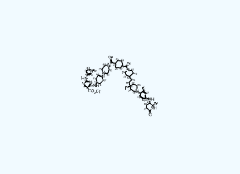 CCOC(=O)c1cnc(Nc2cnn(C)c2)nc1NC1CCC(N2CCN(C(=O)C3CCC(C(=O)N4CCC(CCC5(F)CCN(c6ccc(NC7CCC(=O)NC7=O)cc6F)CC5)CC4)CC3)CC2)CC1